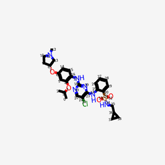 CC(C)Oc1cc(O[C@@H]2CCN(C)C2)ccc1Nc1ncc(Cl)c(Nc2ccccc2S(=O)(=O)NCC2CC2)n1